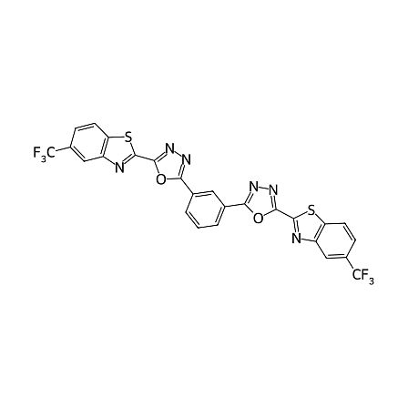 FC(F)(F)c1ccc2sc(-c3nnc(-c4cccc(-c5nnc(-c6nc7cc(C(F)(F)F)ccc7s6)o5)c4)o3)nc2c1